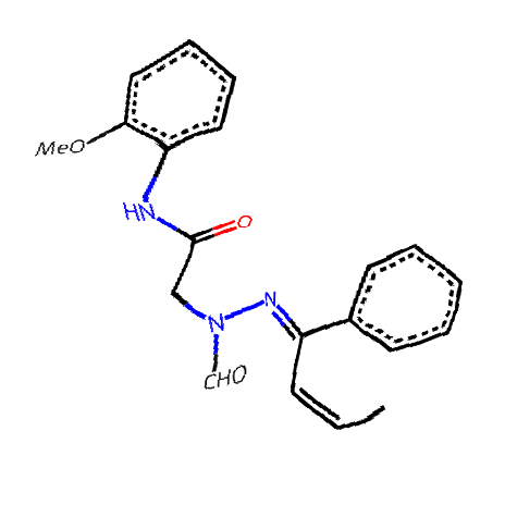 C/C=C\C(=N/N(C=O)CC(=O)Nc1ccccc1OC)c1ccccc1